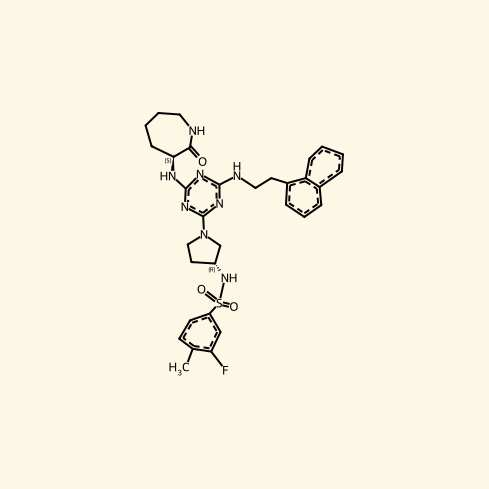 Cc1ccc(S(=O)(=O)N[C@@H]2CCN(c3nc(NCCc4cccc5ccccc45)nc(N[C@H]4CCCCNC4=O)n3)C2)cc1F